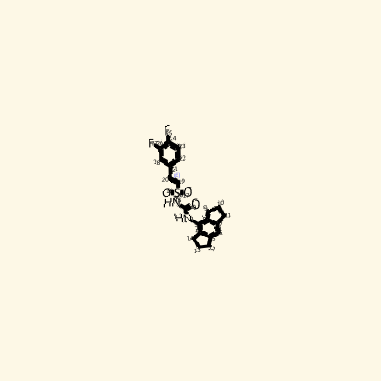 O=C(Nc1c2c(cc3c1CCC3)CCC2)NS(=O)(=O)/C=C/c1ccc(F)c(F)c1